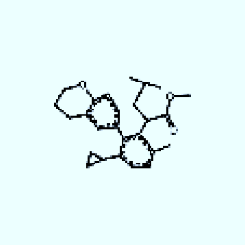 COC(=O)C(CC(C)C)c1c(C)ccc(C2CC2)c1-c1ccc2c(c1)CCCO2